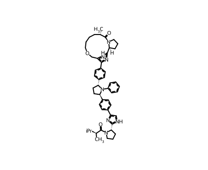 CC(C)[C@H](C)C(=O)N1CCC[C@H]1c1nc(-c2ccc([C@H]3CC[C@H](c4ccc(-c5nc6[nH]c5COCCCC[C@H](C)C(=O)N5CCC[C@@H]65)cc4)N3c3ccccc3)cc2)c[nH]1